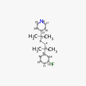 CC(C)(CCC(C)(C)c1cccc(F)c1)c1ccncc1